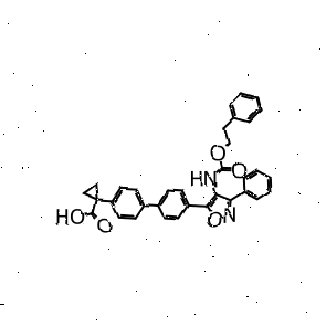 O=C(Nc1c(-c2ccccc2)noc1-c1ccc(-c2ccc(C3(C(=O)O)CC3)cc2)cc1)OCCc1ccccc1